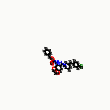 O=C(NC1CC2(CCC1CN1CCCC(Cc3ccc(F)cc3)C1)OCCO2)OCc1ccccc1